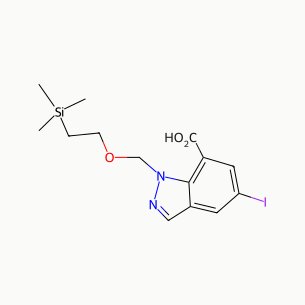 C[Si](C)(C)CCOCn1ncc2cc(I)cc(C(=O)O)c21